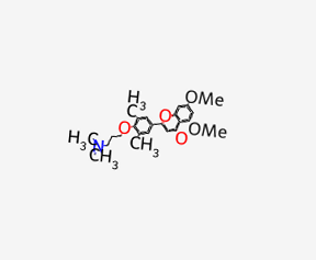 COc1cc(OC)c2c(=O)cc(-c3cc(C)c(OCCCN(C)C)c(C)c3)oc2c1